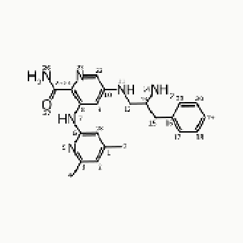 Cc1cc(C)nc(Nc2cc(NCC(N)Cc3ccccc3)cnc2C(N)=O)c1